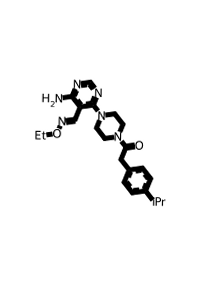 CCON=Cc1c(N)ncnc1N1CCN(C(=O)Cc2ccc(C(C)C)cc2)CC1